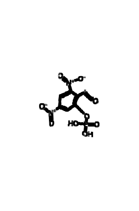 O=Ic1c(OP(=O)(O)O)cc([N+](=O)[O-])cc1[N+](=O)[O-]